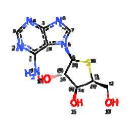 Nc1ncnc2ncn([C@H]3S[C@@H](CO)[C@@H](O)[C@@H]3O)c12